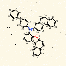 C1=CC2Oc3c(cccc3N(c3ccc(-c4ccccc4)cc3)c3ccc4c(ccc5ccccc54)c3)C2c2ccccc21